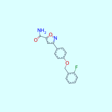 NC(=O)c1cc(-c2ccc(OCc3ccccc3F)cc2)no1